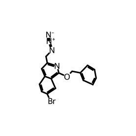 [N-]=[N+]=NCc1cc2ccc(Br)cc2c(OCc2ccccc2)n1